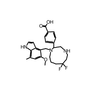 COc1cc(C)c2[nH]ccc2c1CN1CCCC(F)(F)CCNCC1c1ccc(C(=O)O)cc1